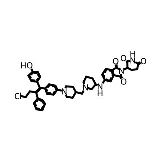 O=C1CCC(N2C(=O)c3ccc(NC4CCCN(CC5CCN(c6ccc(C(=C(CCCl)c7ccccc7)c7ccc(O)cc7)cc6)CC5)C4)cc3C2=O)C(=O)N1